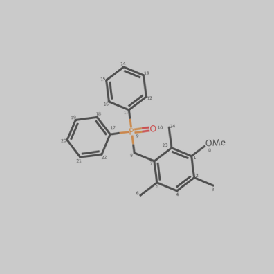 COc1c(C)cc(C)c(CP(=O)(c2ccccc2)c2ccccc2)c1C